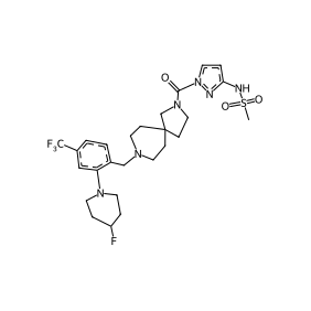 CS(=O)(=O)Nc1ccn(C(=O)N2CCC3(CCN(Cc4ccc(C(F)(F)F)cc4N4CCC(F)CC4)CC3)C2)n1